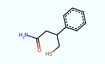 NC(=O)CC(CS)c1ccccc1